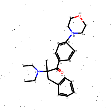 CCN(CC)C(C)(Cc1ccccc1)C(=O)c1ccc(N2CCOCC2)cc1